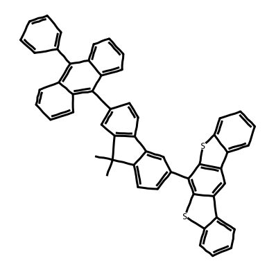 CC1(C)c2ccc(-c3c4sc5ccccc5c4cc4c3sc3ccccc34)cc2-c2ccc(-c3c4ccccc4c(-c4ccccc4)c4ccccc34)cc21